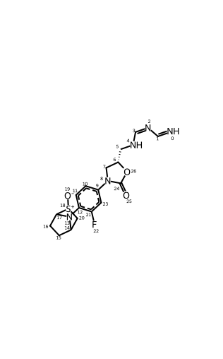 N=C/N=C\NC[C@H]1CN(c2ccc(N3C4CCC3[S+]([O-])C4)c(F)c2)C(=O)O1